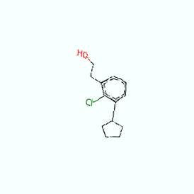 OCCc1cccc(C2CCCC2)c1Cl